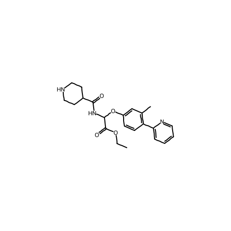 CCOC(=O)C(NC(=O)C1CCNCC1)Oc1ccc(-c2ccccn2)c(C)c1